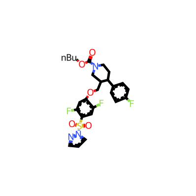 CCCCOC(=O)N1CCC(c2ccc(F)cc2)C(COc2cc(F)c(S(=O)(=O)n3cccn3)cc2F)C1